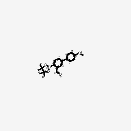 COc1ccc(-c2ccc(B3OC(C)(C)C(C)(C)O3)c(C=O)c2)cc1